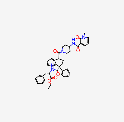 CCOC(=O)[C@H](Cc1ccccc1)NC(=O)[C@@]1(c2ccccc2)CC[C@H](C(=O)N2CCC(NC(=O)c3cccn(C)c3=O)CC2)c2ccccc21